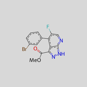 COC(=O)c1n[nH]c2ncc(F)c(-c3cccc(Br)c3)c12